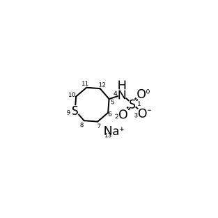 O=S(=O)([O-])NC1CCCSCCC1.[Na+]